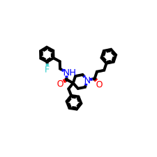 O=C(CCc1ccccc1)N1CCC(Cc2ccccc2)(C(=O)NCCc2ccccc2F)CC1